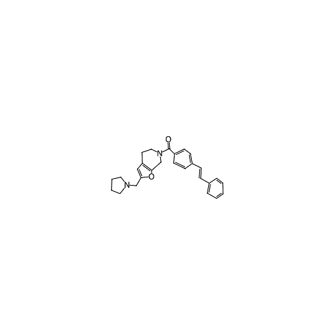 O=C(c1ccc(C=Cc2ccccc2)cc1)N1CCc2cc(CN3CCCC3)oc2C1